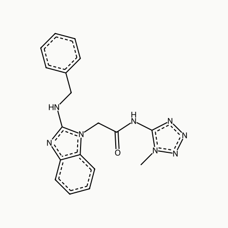 Cn1nnnc1NC(=O)Cn1c(NCc2ccccc2)nc2ccccc21